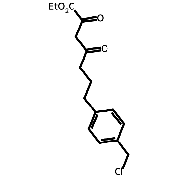 CCOC(=O)C(=O)CC(=O)CCCc1ccc(CCl)cc1